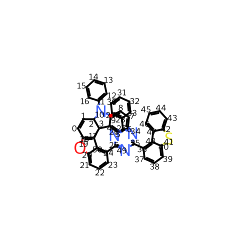 C1=CC2C(c3ccccc3N2c2ccccc2)c2c1oc1cccc(-c3nc(-c4ccccc4)nc(-c4cccc5sc6ccccc6c45)n3)c21